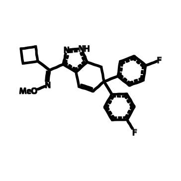 CON=C(c1n[nH]c2c1C=CC(c1ccc(F)cc1)(c1ccc(F)cc1)C2)C1CCC1